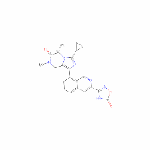 C[C@H]1C(=O)N(C)Cc2c(-c3cccc4cc(-c5noc(=O)[nH]5)ncc34)nc(C3CC3)n21